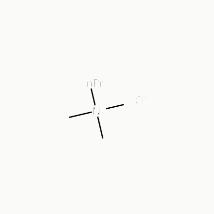 [CH2]CC[N+](C)(C)C.[Cl-]